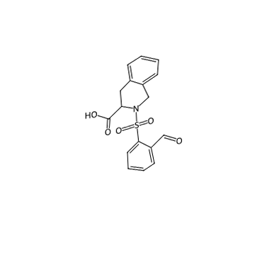 O=Cc1ccccc1S(=O)(=O)N1Cc2ccccc2CC1C(=O)O